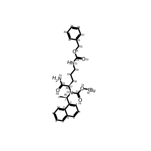 C[C@H](c1cccc2ccccc12)N(C(=O)OC(C)(C)C)[C@H](CCCNC(=O)OCc1ccccc1)C(N)=O